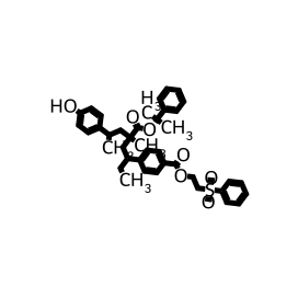 CCC(CC(C)(CC(C)c1ccc(O)cc1)C(=O)OC(C)(C)c1ccccc1)c1ccc(C(=O)OCCS(=O)(=O)c2ccccc2)cc1